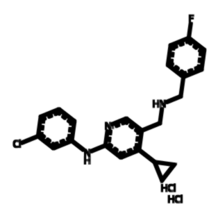 Cl.Cl.Fc1ccc(CNCc2cnc(Nc3cccc(Cl)c3)cc2C2CC2)cc1